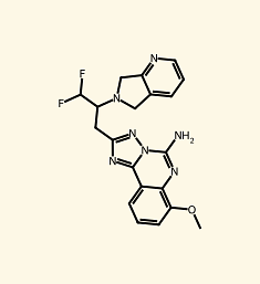 COc1cccc2c1nc(N)n1nc(CC(C(F)F)N3Cc4cccnc4C3)nc21